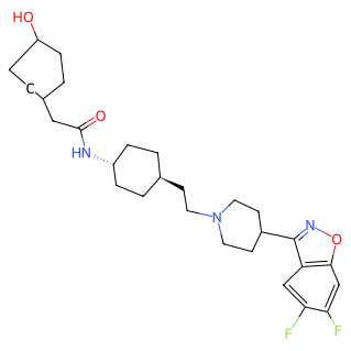 O=C(CC1CCC(O)CC1)N[C@H]1CC[C@H](CCN2CCC(c3noc4cc(F)c(F)cc34)CC2)CC1